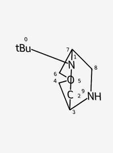 CC(C)(C)N1CC2COCC1CN2